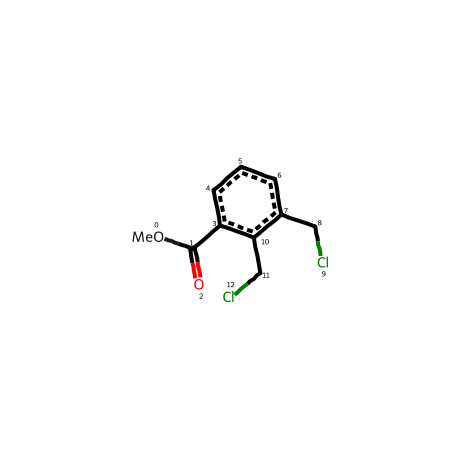 COC(=O)c1cccc(CCl)c1CCl